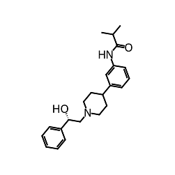 CC(C)C(=O)Nc1cccc(C2CCN(C[C@@H](O)c3ccccc3)CC2)c1